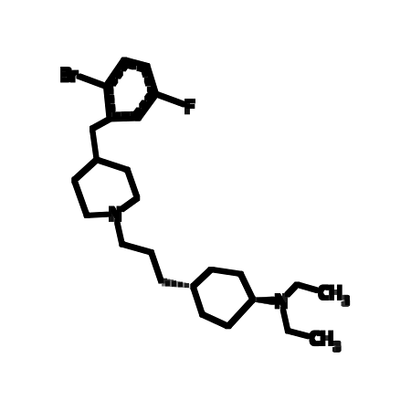 CCN(CC)[C@H]1CC[C@H](CCCN2CCC(Cc3cc(F)ccc3Br)CC2)CC1